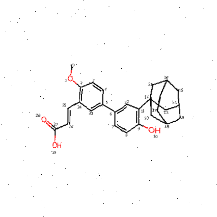 COc1ccc(-c2ccc(O)c(C34CC5CC(CC(C5)C3)C4)c2)cc1C=CC(=O)O